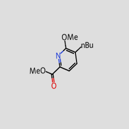 CCCCc1ccc(C(=O)OC)nc1OC